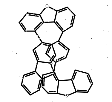 c1ccc2c(c1)oc1ccc(-c3cccc4oc5cccc(-c6ccc(-c7cccc8sc9ccccc9c78)cc6)c5c34)cc12